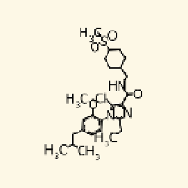 CCc1nc(C(=O)NCC2CCC(S(C)(=O)=O)CC2)c(Cl)n1-c1ccc(CC(C)C)cc1OC